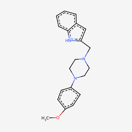 COc1ccc(N2CCN(Cc3cc4ccccc4[nH]3)CC2)cc1